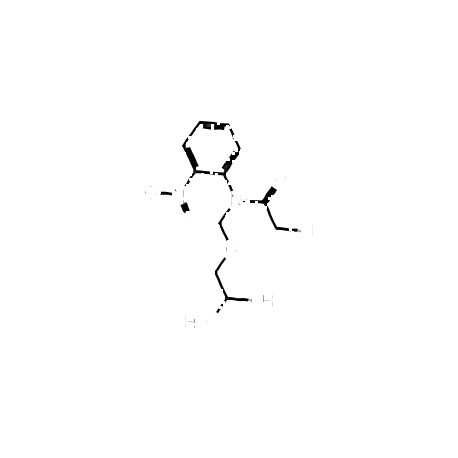 CC(C)COCN(C(=O)CCl)c1ccccc1[N+](=O)[O-]